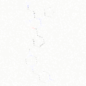 CN1CCC(CN2CCN(Cc3cccc(C(=O)NN(/C(N)=C(\Br)C=N)C4CCCC4)c3)CC2)CC1